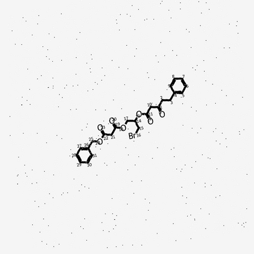 O=C(CCc1ccccc1)CC(=O)OC(CBr)COC(=O)CC(=O)OCc1ccccc1